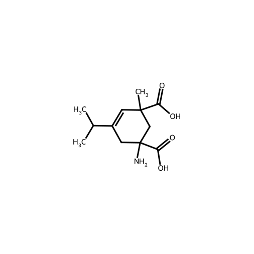 CC(C)C1=CC(C)(C(=O)O)CC(N)(C(=O)O)C1